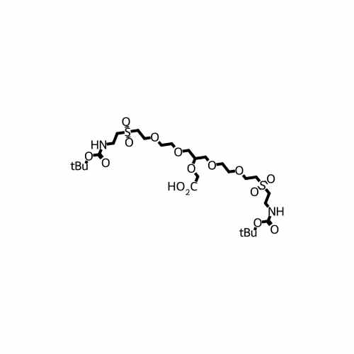 CC(C)(C)OC(=O)NCCS(=O)(=O)CCOCCOCC(COCCOCCS(=O)(=O)CCNC(=O)OC(C)(C)C)OCC(=O)O